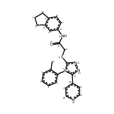 Cc1ccccc1-n1c(SCC(=O)Nc2ccc3c(c2)CCC3)nnc1-c1ccncc1